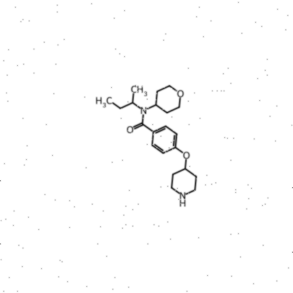 CCC(C)N(C(=O)c1ccc(OC2CCNCC2)cc1)C1CCOCC1